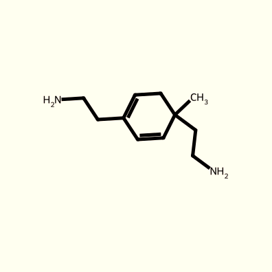 CC1(CCN)C=CC(CCN)=CC1